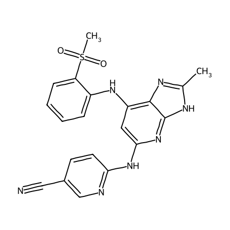 Cc1nc2c(Nc3ccccc3S(C)(=O)=O)cc(Nc3ccc(C#N)cn3)nc2[nH]1